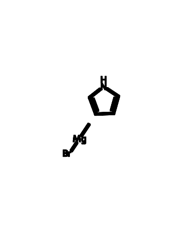 [CH3][Mg][Br].c1cc[nH]c1